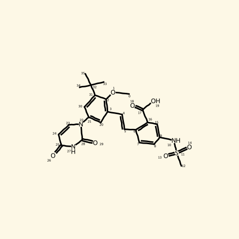 COc1c(C=Cc2ccc(NS(C)(=O)=O)cc2C(=O)O)cc(-n2ccc(=O)[nH]c2=O)cc1C(C)(C)C